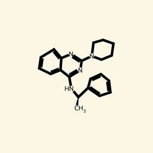 C[C@@H](Nc1nc(N2CCCCC2)nc2ccccc12)c1ccccc1